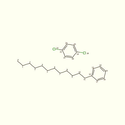 CCCCCCCCCCCCc1ccccc1.Clc1ccc(Cl)cc1